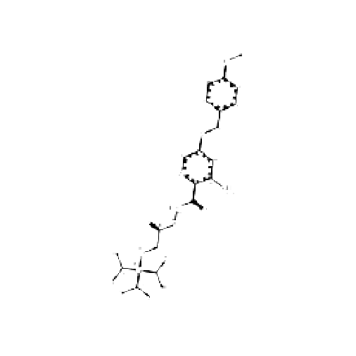 COc1ccc(CSc2cnc(C(=O)NNC(=O)CO[Si](C(C)C)(C(C)C)C(C)C)c(N)c2)cc1